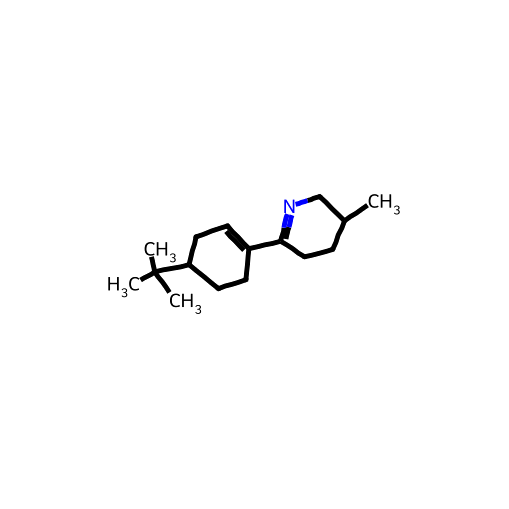 CC1CCC(C2=CCC(C(C)(C)C)CC2)=NC1